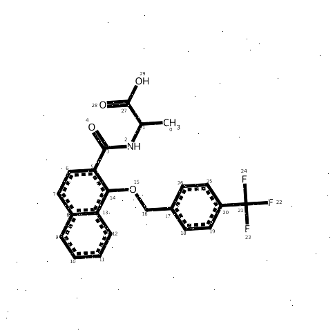 CC(NC(=O)c1ccc2ccccc2c1OCc1ccc(C(F)(F)F)cc1)C(=O)O